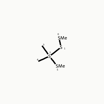 CSSS(C)(C)SC